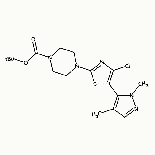 Cc1cnn(C)c1-c1sc(N2CCN(C(=O)OC(C)(C)C)CC2)nc1Cl